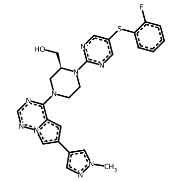 Cn1cc(-c2cc3c(N4CCN(c5ncc(Sc6ccccc6F)cn5)[C@H](CO)C4)ncnn3c2)cn1